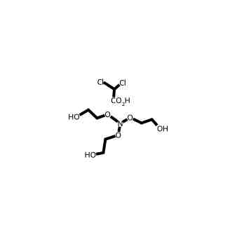 O=C(O)C(Cl)Cl.OCCON(OCCO)OCCO